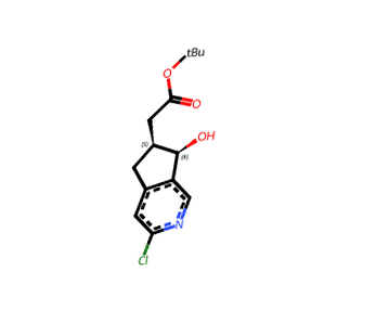 CC(C)(C)OC(=O)C[C@@H]1Cc2cc(Cl)ncc2[C@@H]1O